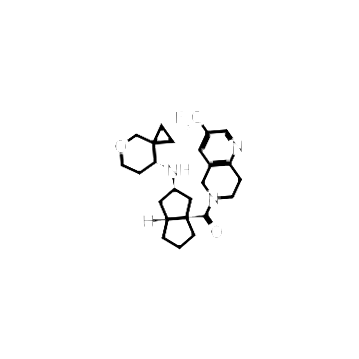 O=C(N1CCc2ncc(C(F)(F)F)cc2C1)[C@@]12CCC[C@@H]1C[C@@H](N[C@@H]1CCOCC13CC3)C2